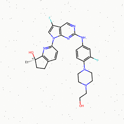 CC[C@@]1(O)CCc2ccc(-n3cc(F)c4cnc(Nc5ccc(N6CCN(CCO)CC6)c(F)c5)nc43)nc21